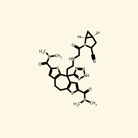 CN(C)C(=O)c1cc2c(s1)CCc1cc(C(=O)N(C)C)sc1C2(CCNCC(=O)N1C(C#N)C[C@@H]2C[C@@H]21)c1nn[nH]n1